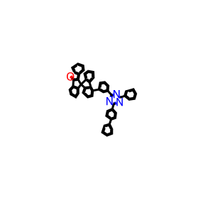 c1ccc(-c2ccc(-c3nc(-c4ccccc4)nc(-c4cccc(-c5cccc6c5-c5ccccc5C65c6ccccc6-c6oc7ccccc7c65)c4)n3)cc2)cc1